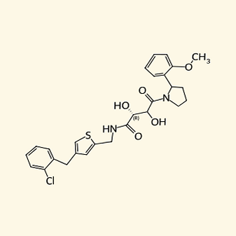 COc1ccccc1C1CCCN1C(=O)C(O)[C@@H](O)C(=O)NCc1cc(Cc2ccccc2Cl)cs1